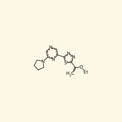 C=C(OCC)c1nnc(-c2cncc(N3CCCC3)n2)s1